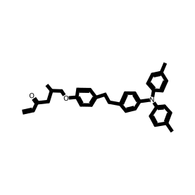 C=CC(=O)CC(C)COc1ccc(CCc2ccc(N(c3ccc(C)cc3)c3ccc(C)cc3)cc2)cc1